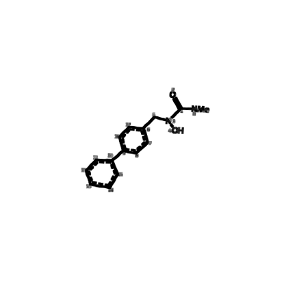 CNC(=O)N(O)Cc1ccc(-c2ccccc2)cc1